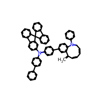 C=C1/C=C\C=C/CN(c2ccccc2)c2ccc(-c3ccc(N(c4ccc(-c5ccccc5)cc4)c4ccc5c(c4)C4(c6ccccc6-c6ccccc64)c4ccccc4-5)cc3)cc21